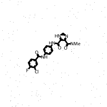 CNC(=O)c1nc[nH]c1C(=O)Nc1ccc(NC(=O)c2ccc(F)c(Cl)c2)cc1